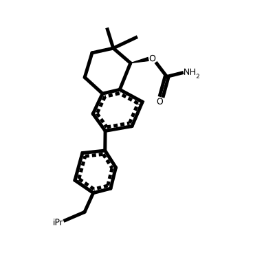 CC(C)Cc1ccc(-c2ccc3c(c2)CCC(C)(C)[C@H]3OC(N)=O)cc1